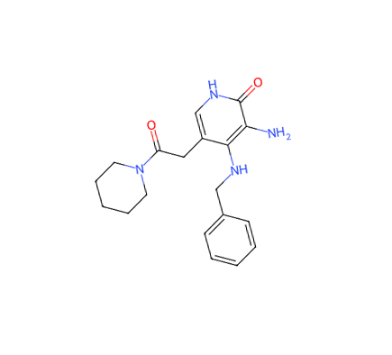 Nc1c(NCc2ccccc2)c(CC(=O)N2CCCCC2)c[nH]c1=O